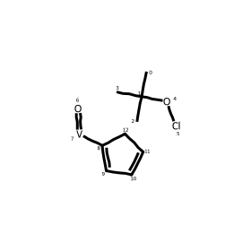 CC(C)(C)OCl.[O]=[V][C]1=CC=CC1